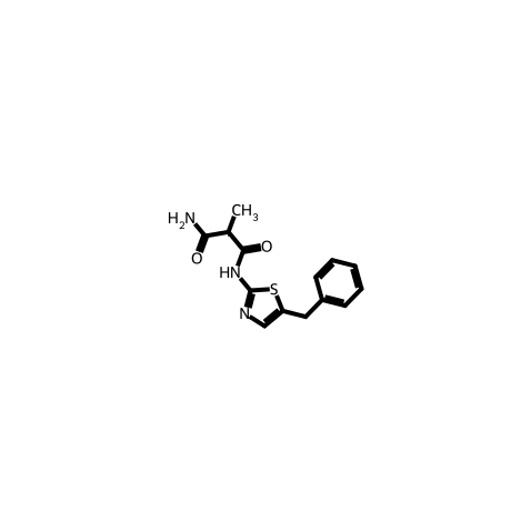 C[C](C(N)=O)C(=O)Nc1ncc(Cc2ccccc2)s1